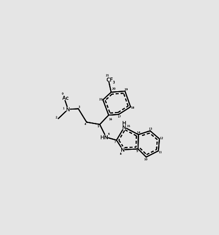 CC(=O)N(C)CCC(Nc1nc2ccccc2[nH]1)c1cccc(C(F)(F)F)c1